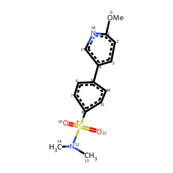 COc1ccc(-c2ccc(S(=O)(=O)N(C)C)cc2)cn1